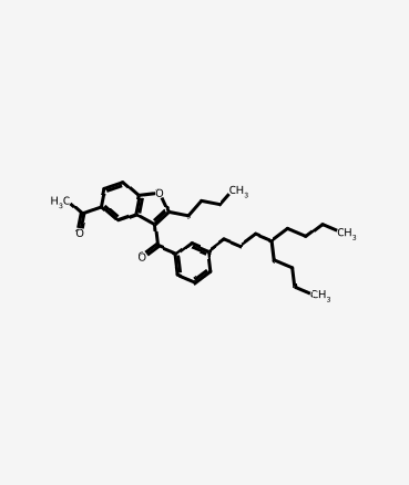 CCCCc1oc2ccc(C(C)=O)cc2c1C(=O)c1cccc(CCCC(CCCC)CCCC)c1